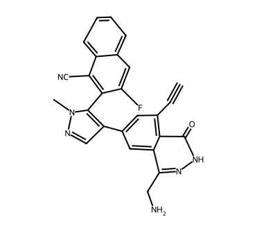 C#Cc1cc(-c2cnn(C)c2-c2c(F)cc3ccccc3c2C#N)cc2c(CN)n[nH]c(=O)c12